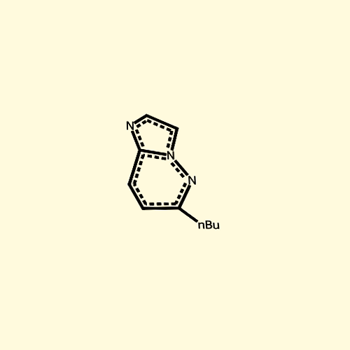 CCCCc1ccc2nccn2n1